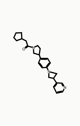 O=C(CC1CCCC1)N1CCC(c2ccc(N3CC(c4cccnc4)C3)cc2)C1